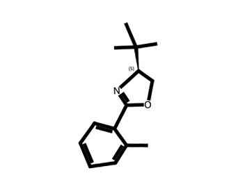 Cc1ccccc1C1=N[C@@H](C(C)(C)C)CO1